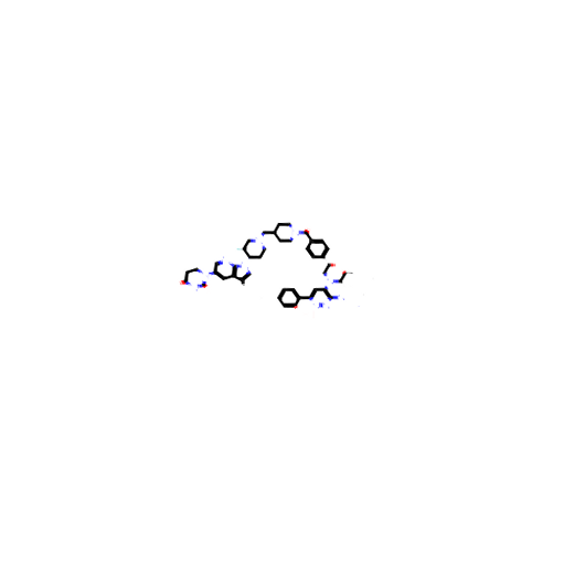 Cc1cn([C@H]2CCN(CC3CCN(C(=O)c4ccc([C@@H]5CN(c6cc(-c7ccccc7O)nnc6N)[C@H](C)[C@H](C)O5)cc4)CC3)C[C@@H]2F)c2ncc(N3CCC(=O)NC3=O)cc12